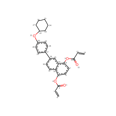 C=CC(=O)Oc1ccc(OC(=O)C=C)c2cc(-c3ccc(OC4CCCCC4)cc3)ccc12